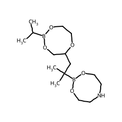 CC(C)B1OCCOC(CC(C)(C)B2OCCNCCO2)CO1